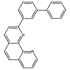 c1ccc(-c2cccc(-c3ccc4ccc5cccnc5c4n3)c2)cc1